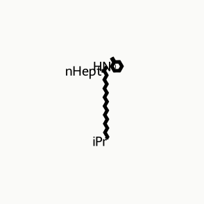 C=C1CCCC[C@@H]1NC(CCCCCCC)CCCCCCCCCCCCCCCC(C)C